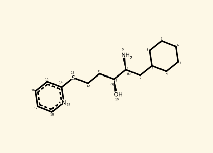 N[C@@H](CC1CCCCC1)[C@@H](O)CCSc1ccccn1